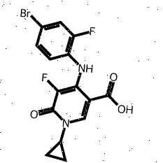 O=C(O)c1cn(C2CC2)c(=O)c(F)c1Nc1ccc(Br)cc1F